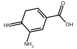 N=C1CC=C(C(=O)O)C=C1N